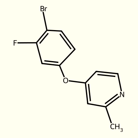 Cc1cc(Oc2ccc(Br)c(F)c2)ccn1